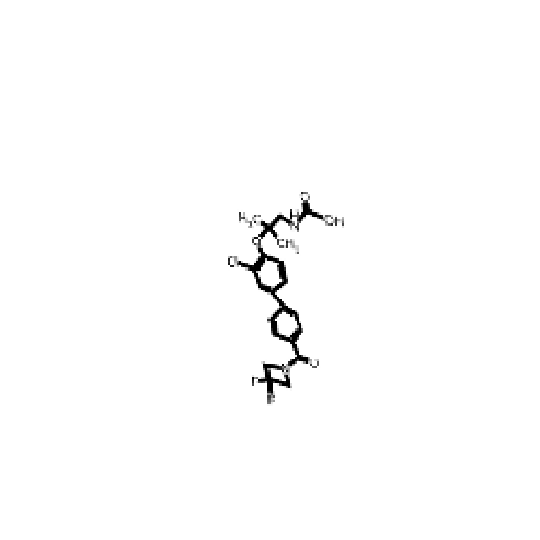 CC(C)(CNC(=O)O)Oc1ccc(-c2ccc(C(=O)N3CC(F)(F)C3)cc2)cc1Cl